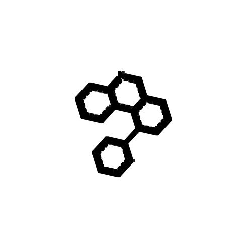 [c]1ccccc1-c1cccc2cnc3ccccc3c12